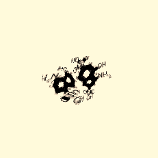 Nc1cc(S(=O)(=O)O)cc2cc(S(=O)(=O)O)cc(O)c12.Nc1ccc(S(=O)(=O)O)c2cccc(O)c12